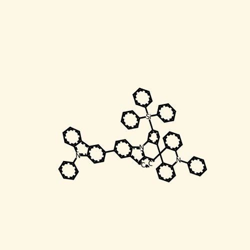 c1ccc(N2c3ccccc3C3(c4ccccc42)c2ccc([Si](c4ccccc4)(c4ccccc4)c4ccccc4)cc2-n2c4ccc(-c5ccc6c(c5)c5ccccc5n6-c5ccccc5)cc4c4cccc3c42)cc1